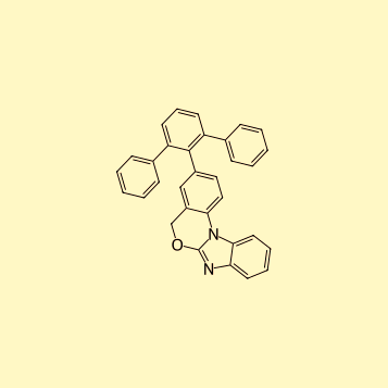 c1ccc(-c2cccc(-c3ccccc3)c2-c2ccc3c(c2)COc2nc4ccccc4n2-3)cc1